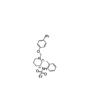 CCS(=O)(=O)N[C@@H]1CCCN(COc2ccc(C(C)C)cc2)[C@@H]1Cc1ccccc1